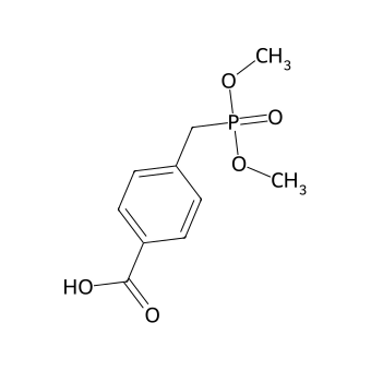 COP(=O)(Cc1ccc(C(=O)O)cc1)OC